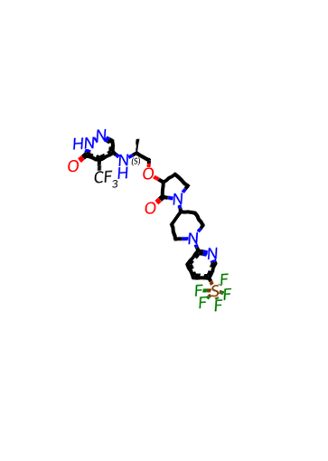 C[C@@H](COC1CCN(C2CCN(c3ccc(S(F)(F)(F)(F)F)cn3)CC2)C1=O)Nc1cn[nH]c(=O)c1C(F)(F)F